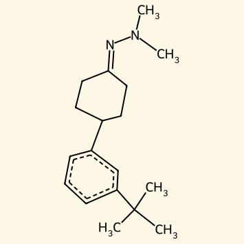 CN(C)N=C1CCC(c2cccc(C(C)(C)C)c2)CC1